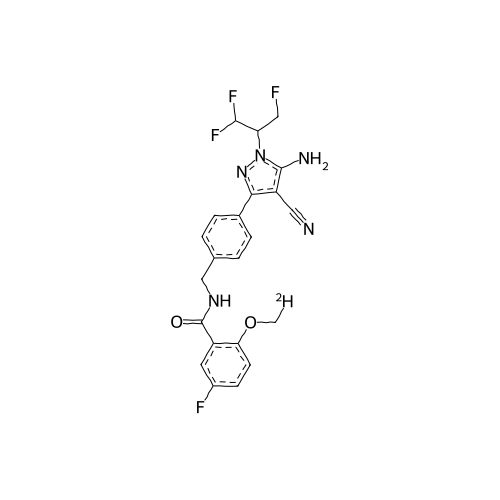 [2H]COc1ccc(F)cc1C(=O)NCc1ccc(-c2nn(C(CF)C(F)F)c(N)c2C#N)cc1